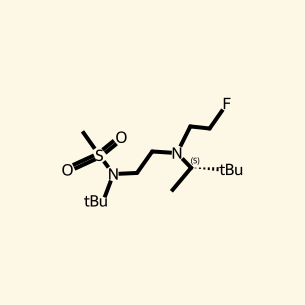 C[C@H](N(CCF)CCN(C(C)(C)C)S(C)(=O)=O)C(C)(C)C